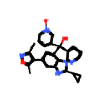 Cc1noc(C)c1-c1cc(C(O)(c2cccnc2)c2ccc[n+]([O-])c2)c2nc(C3CC3)[nH]c2c1